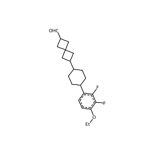 CCOc1ccc(C2CCC(C3CC4(CC(C=O)C4)C3)CC2)c(F)c1F